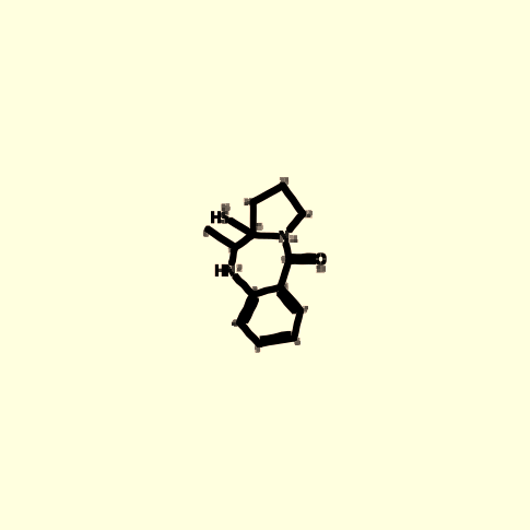 CC1Nc2ccccc2C(=O)N2CCCC12S